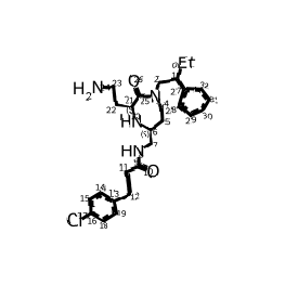 CCC(CN1CC[C@@H](CNC(=O)C=Cc2ccc(Cl)cc2)N[C@@H](CCN)C1=O)c1ccccc1